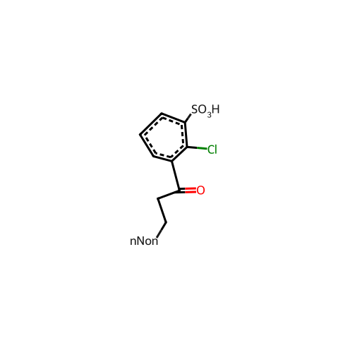 CCCCCCCCCCCC(=O)c1cccc(S(=O)(=O)O)c1Cl